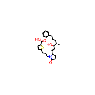 C[C@H](CCCc1ccccc1)[C@H](O)/C=C/[C@H]1CCC(=O)N1CCCc1ccc(C(=O)O)s1